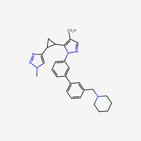 Cn1cc(C2CC2c2c(C(=O)O)cnn2-c2cccc(-c3cccc(CN4CCCCC4)c3)c2)nn1